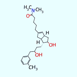 Cc1cccc(C[C@H](O)CC[C@@H]2[C@H]3CC(CCCCC(=O)N(C)C)=C[C@H]3C[C@H]2O)c1